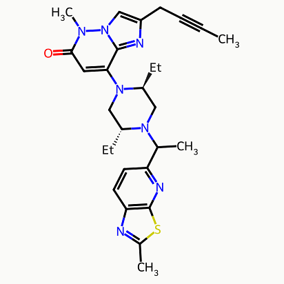 CC#CCc1cn2c(n1)c(N1C[C@@H](CC)N(C(C)c3ccc4nc(C)sc4n3)C[C@@H]1CC)cc(=O)n2C